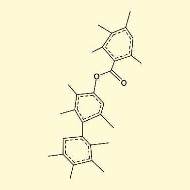 Cc1cc(-c2c(C)cc(OC(=O)c3c(C)cc(C)c(C)c3C)c(C)c2C)c(C)c(C)c1C